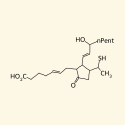 CCCCCC(O)C=CC1C(CC=CCCCC(=O)O)C(=O)CC1C(C)S